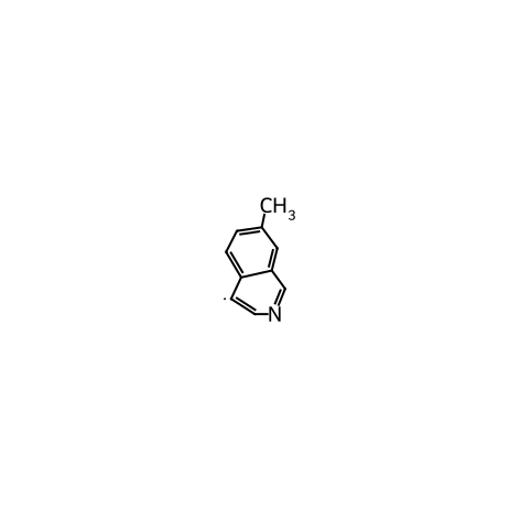 Cc1ccc2[c]cncc2c1